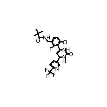 CC(C)(C)C(=O)NCc1ccc(Cl)c(C2=CC(c3ccc(C(F)(F)F)nc3)NC(=O)N2)c1F